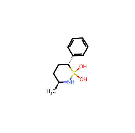 C[C@H]1CC[C@H](c2ccccc2)S(O)(O)N1